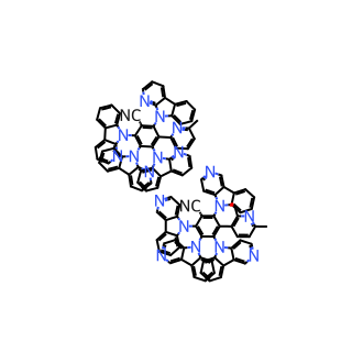 Cc1ccc(-c2c(-n3c4ccccc4c4cnccc43)c(C#N)c(-n3c4ccccc4c4cnccc43)c(-n3c4ccccc4c4cnccc43)c2-n2c3ccccc3c3cnccc32)c(C)n1.Cc1cccc(-c2c(-n3c4ccccc4c4cccnc43)c(C#N)c(-n3c4ccccc4c4cccnc43)c(-n3c4ccccc4c4cccnc43)c2-n2c3ccccc3c3cccnc32)n1